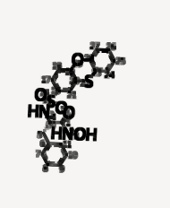 O=C(NO)[C@H](Cc1ccccc1)NS(=O)(=O)c1ccc2c(c1)Sc1ccccc1O2